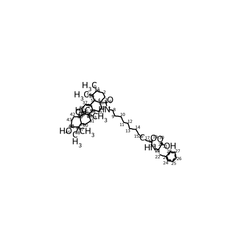 C[C@@H]1CC[C@]2(C(=O)NCCCCCCCCCCC(=O)N[C@@H](Cc3ccccc3)C(=O)O)CC[C@]3(C)C(=CCC4[C@@]5(C)CC[C@H](O)C(C)(C)C5CC[C@]43C)C2[C@H]1C